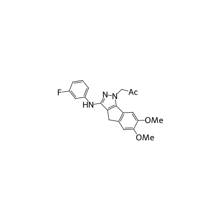 COc1cc2c(cc1OC)-c1c(c(Nc3cccc(F)c3)nn1CC(C)=O)C2